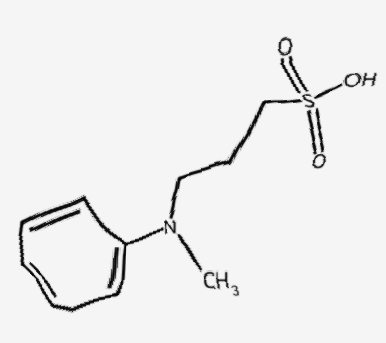 CN(CCCS(=O)(=O)O)c1ccccc1